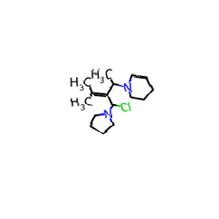 CC(C)=C(C(C)N1CCCCC1)C(Cl)N1CCCC1